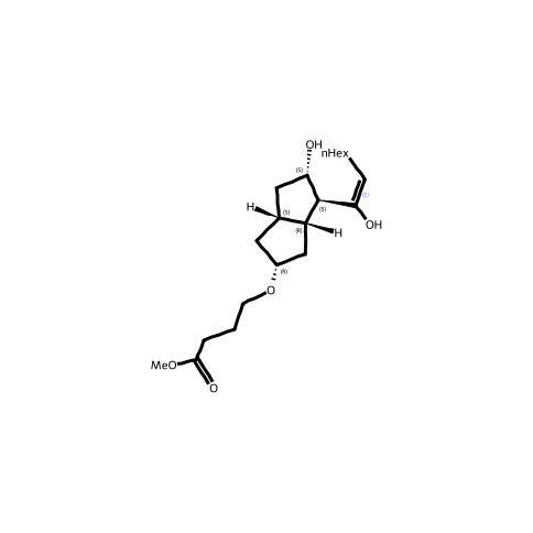 CCCCCC/C=C(/O)[C@H]1[C@@H]2C[C@H](OCCCC(=O)OC)C[C@@H]2C[C@@H]1O